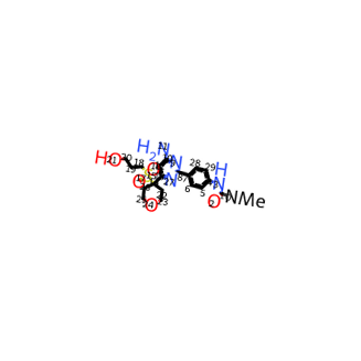 CNC(=O)Nc1ccc(-c2nc(N)cc(C3(S(=O)(=O)CCCO)CCOCC3)n2)cc1